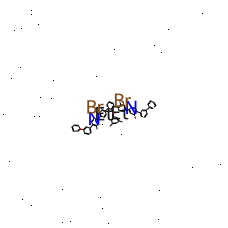 CCC(CC)(c1cc(C)cc(C)c1)c1c(-c2ccc(-c3cc(C)c(-c4cccc(-c5ccccc5)c4)cn3)cc2Br)cccc1-c1ccc(-c2cc(C)c(-c3cccc(-c4ccccc4)c3)cn2)cc1Br